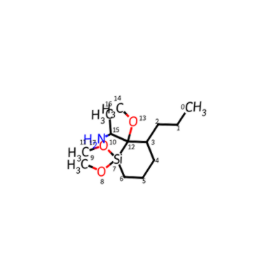 CCCC1CCC[Si](OC)(OC)C1(OC)C(C)N